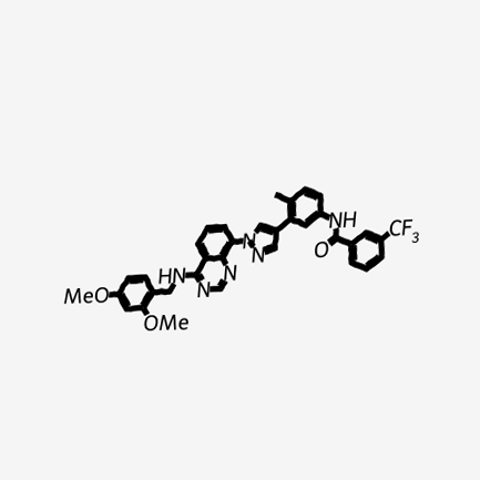 COc1ccc(CNc2ncnc3c(-n4cc(-c5cc(NC(=O)c6cccc(C(F)(F)F)c6)ccc5C)cn4)cccc23)c(OC)c1